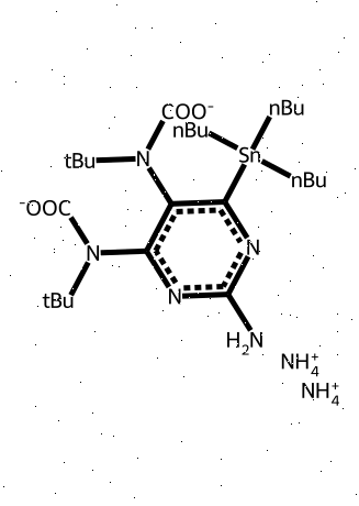 CCC[CH2][Sn]([CH2]CCC)([CH2]CCC)[c]1nc(N)nc(N(C(=O)[O-])C(C)(C)C)c1N(C(=O)[O-])C(C)(C)C.[NH4+].[NH4+]